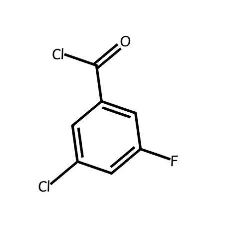 O=C(Cl)c1cc(F)cc(Cl)c1